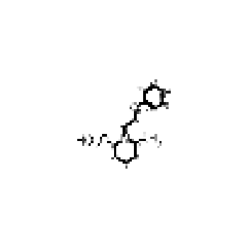 C[C@H]1CCC[C@@H](C(=O)O)N1CCOc1ccccc1